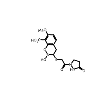 COc1ccc2c(c1C(=O)O)OB(O)C(SCC(=O)N1CCC(=O)N1)C2